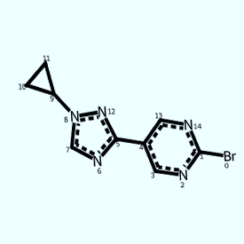 Brc1ncc(-c2ncn(C3CC3)n2)cn1